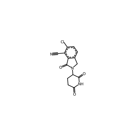 N#Cc1c(Cl)ccc2c1C(=O)N(C1CCC(=O)NC1=O)C2